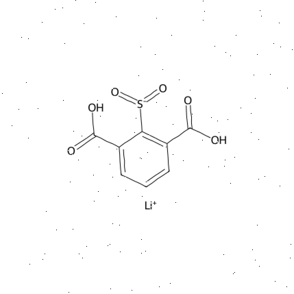 O=C(O)c1cccc(C(=O)O)c1[S-](=O)=O.[Li+]